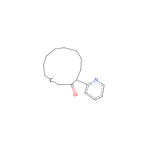 O=C1CCCCCCCCCCC1c1ccccn1